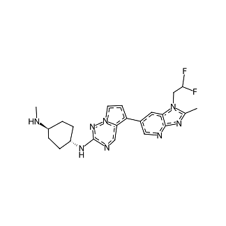 CN[C@H]1CC[C@H](Nc2ncc3c(-c4cnc5nc(C)n(CC(F)F)c5c4)ccn3n2)CC1